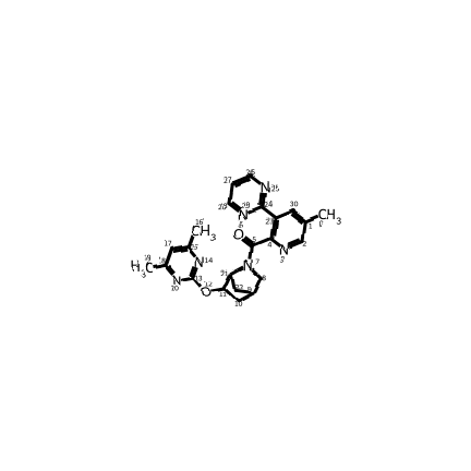 Cc1cnc(C(=O)N2CC3CC(Oc4nc(C)cc(C)n4)C2C3)c(-c2ncccn2)c1